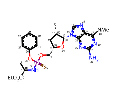 CCOC(=O)[C@@H](C)NP(=S)(OC[C@@H]1C[C@H](C)[C@H](n2cnc3c(NC)nc(N)nc32)O1)Oc1ccccc1